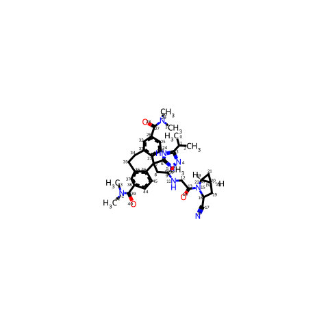 CC(C)c1nnc(C2(C[C@H](C)NCC(=O)N3C(C#N)C[C@@H]4C[C@@H]43)c3ccc(C(=O)N(C)C)cc3CCc3cc(C(=O)N(C)C)ccc32)[nH]1